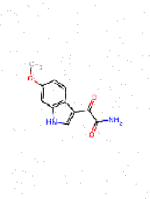 COc1ccc2c(C(=O)C(N)=O)c[nH]c2c1